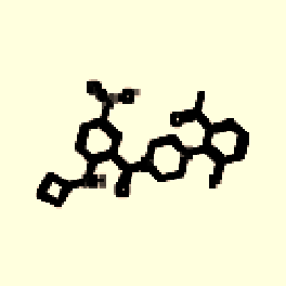 CC(=O)c1cccc(F)c1N1CCN(C(=O)c2cc([N+](=O)[O-])ccc2NC2CCC2)CC1